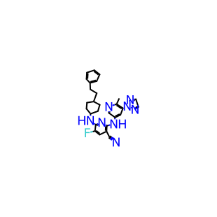 Cc1ncc(Nc2nc(NC3CCC(CCc4ccccc4)CC3)c(F)cc2C#N)cc1-n1nccn1